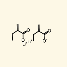 C=C(CC)C(=O)[O-].C=C(CC)C(=O)[O-].[Li+].[Li+]